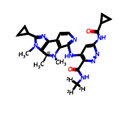 [2H]C([2H])([2H])NC(=O)c1nnc(NC(=O)C2CC2)cc1Nc1nccc2c1N(C)[C@@H](C)c1c-2nc(C2CC2)n1C